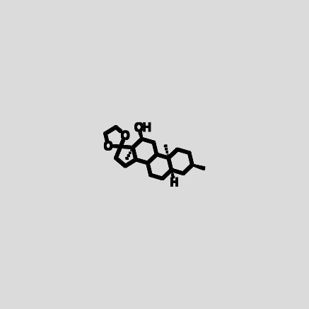 C[C@@H]1CC[C@]2(C)C3C[C@H](O)[C@@]4(C)C(CCC45OCCO5)C3CC[C@@H]2C1